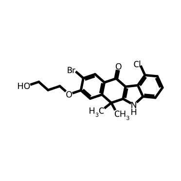 CC1(C)c2cc(OCCCO)c(Br)cc2C(=O)c2c1[nH]c1cccc(Cl)c21